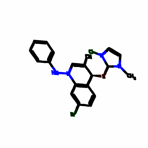 CN1C=CN(Cl)C1S[C@H]1C(C#N)=CN(Nc2ccccc2)c2cc(Br)ccc21